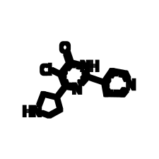 O=c1[nH]c(-c2ccncc2)nc(C2CCNC2)c1Cl